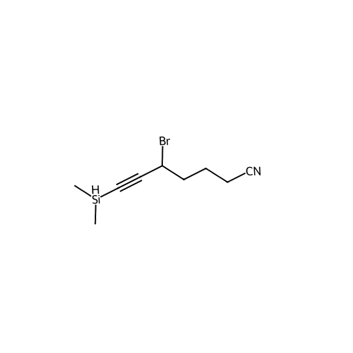 C[SiH](C)C#CC(Br)CCCC#N